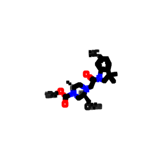 COC[C@H]1CN(C(=O)OC(C)(C)C)[C@H](C)CN1CC(=O)N1CC(C)(C)c2ccc(C#N)cc21